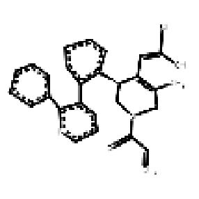 C=CC(=O)N1CC(C)=C(/C=C(\C)Cl)[C@H](c2ccccc2-c2cccnc2-c2ccccc2)C1